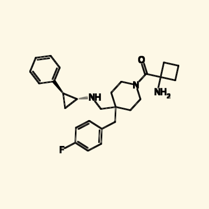 NC1(C(=O)N2CCC(CN[C@@H]3C[C@H]3c3ccccc3)(Cc3ccc(F)cc3)CC2)CCC1